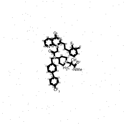 CNC(=O)C(C)(C)N1CCC(N(Cc2ccc(-c3ccc(C(F)(F)F)cc3)cc2)C(=O)Cn2c(CCc3cccc(F)c3F)nc(=O)c3cccnc32)CC1